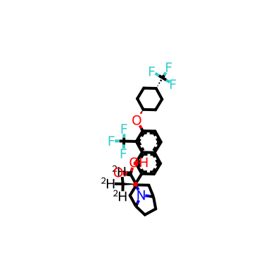 [2H]C([2H])([2H])[C@@H](c1ccc2ccc(O[C@H]3CC[C@@H](C(F)(F)F)CC3)c(C(F)(F)F)c2c1)N1C2CCC1CC(C(=O)O)C2